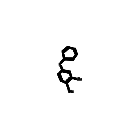 CC(C)(C)c1ccc(Sc2ccccc2)cc1C(C)(C)C